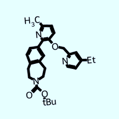 CCc1ccnc(COc2ccc(C)nc2-c2ccc3c(c2)CCN(C(=O)OC(C)(C)C)CC3)c1